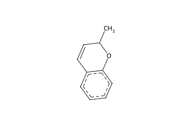 CC1C=Cc2ccccc2O1